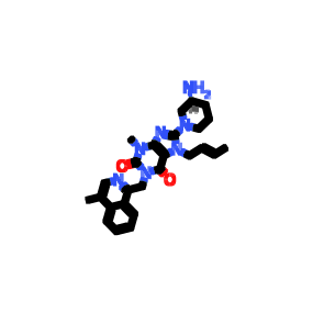 CC=CCn1c(N2CCC[C@@H](N)C2)nc2c1c(=O)n(Cc1ncc(C)c3ccccc13)c(=O)n2C